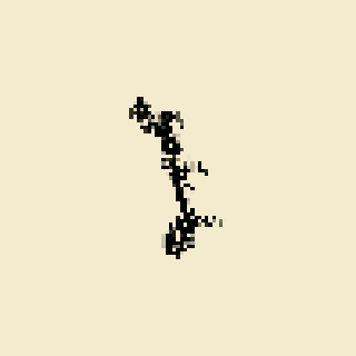 COc1cc2c(cc1OCCCC(=O)Nc1cc(C(=O)Nc3ccc(-c4cc(C(=O)Nc5cccnc5)n(C)c4)cc3)n(C)c1)N=C[C@@H]1CCCCN1C2=O